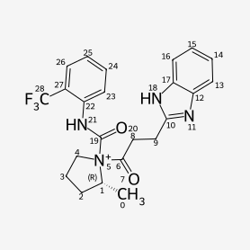 C[C@@H]1CCC[N+]1(C(=O)CCc1nc2ccccc2[nH]1)C(=O)Nc1ccccc1C(F)(F)F